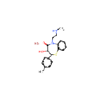 Br.CNCCN1C(=O)[C@H](O)[C@H](c2ccc(C)cc2)Sc2ccccc21